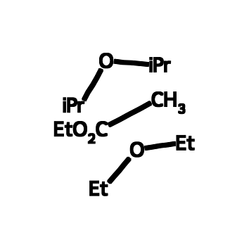 CC(C)OC(C)C.CCOC(C)=O.CCOCC